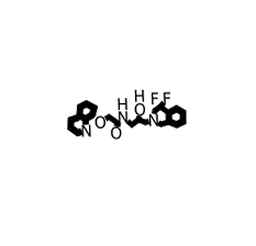 O=C(COc1cccc2cccnc12)NCC(O)CN1Cc2ccccc2C(F)(F)C1